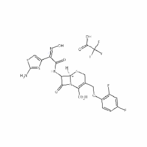 Nc1nc(/C(=N/O)C(=O)NC2C(=O)N3C(C(=O)O)=C(COc4ccc(F)cc4F)CS[C@H]23)cs1.O=C(O)C(F)(F)F